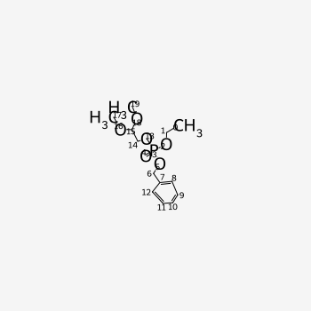 CCOP(=O)(OCc1ccccc1)OCC(OC)OC